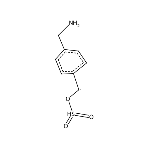 NCc1ccc([CH]O[SH](=O)=O)cc1